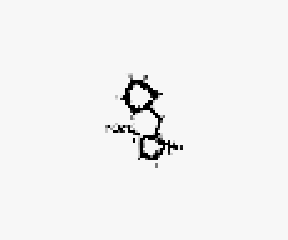 CCCCCCCCn1cc[n+](C)c1Cc1ccccc1